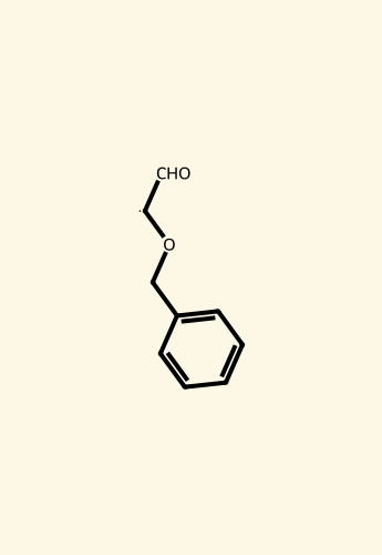 O=C[CH]OCc1ccccc1